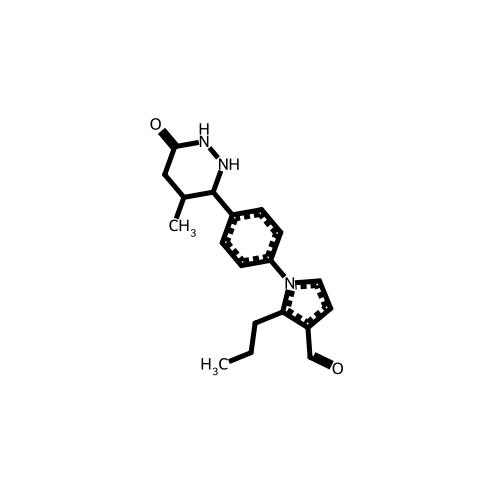 CCCc1c(C=O)ccn1-c1ccc(C2NNC(=O)CC2C)cc1